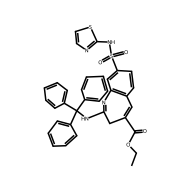 CCOC(=O)C1=Cc2ccc(S(=O)(=O)Nc3nccs3)cc2N=C(NC(c2ccccc2)(c2ccccc2)c2ccccc2)C1